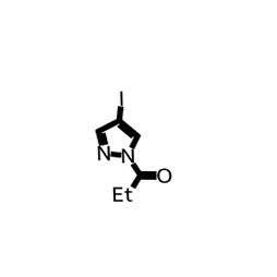 CCC(=O)n1cc(I)cn1